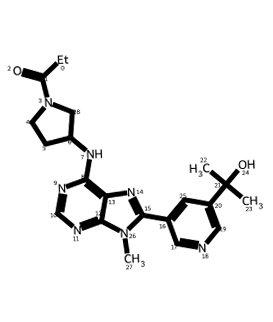 CCC(=O)N1CCC(Nc2ncnc3c2nc(-c2cncc(C(C)(C)O)c2)n3C)C1